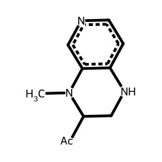 CC(=O)C1CNc2ccncc2N1C